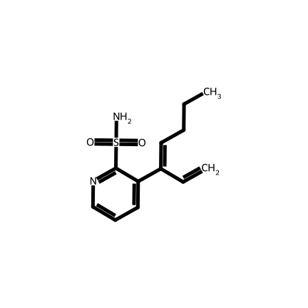 C=CC(=CCCC)c1cccnc1S(N)(=O)=O